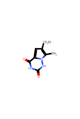 CCOC(=O)c1cc2c(=O)[nH]c(=O)[nH]n2c1C